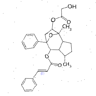 CC1CCC2C1C(OC(=O)/C=C/c1ccccc1)C1(c3ccccc3)CC(OC(=O)CO)C2(C)O1